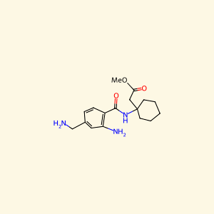 COC(=O)CC1(NC(=O)c2ccc(CN)cc2N)CCCCC1